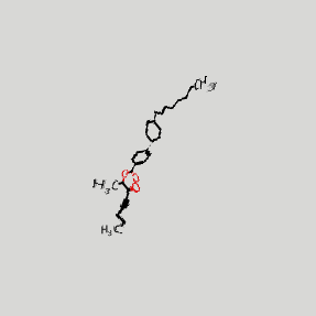 CCCC#CC(=O)C(C)OC(=O)c1ccc([C@H]2CC[C@H](CCCCCCCC)CC2)cc1